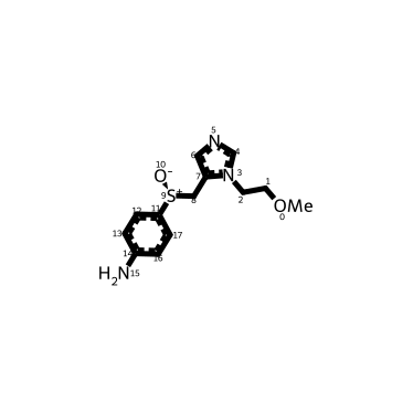 COCCn1cncc1C[S@+]([O-])c1ccc(N)cc1